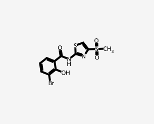 CS(=O)(=O)c1csc(NC(=O)c2cccc(Br)c2O)n1